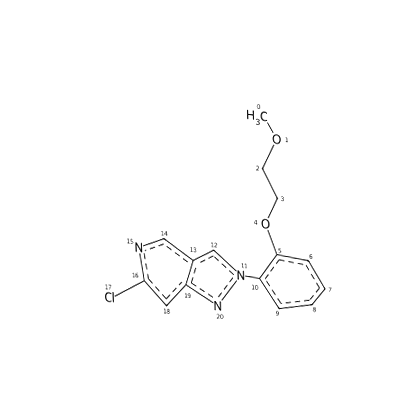 COCCOc1ccccc1-n1cc2cnc(Cl)cc2n1